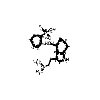 CN(C)CCc1c[nH]c2cccc(O)c12.O=S(=O)(O)c1ccccc1